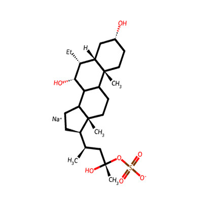 CC[C@H]1[C@@H](O)C2C3CC[C@H]([C@H](C)C[C@@](C)(O)OS(=O)(=O)[O-])[C@@]3(C)CCC2[C@@]2(C)CC[C@@H](O)C[C@@H]12.[Na+]